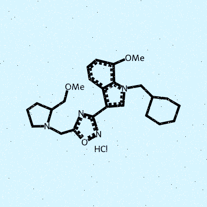 COCC1CCCN1Cc1nc(-c2cn(CC3CCCCC3)c3c(OC)cccc23)no1.Cl